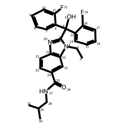 CCn1c(C(O)(c2ccccc2F)c2ccccc2F)nc2ccc(C(=O)NCC(C)C)cc21